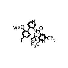 COc1cc(F)ccc1-c1ccncc1N(CC1(C)COC1)C(=O)c1cc(C(F)(F)F)nc(C(F)(F)F)c1